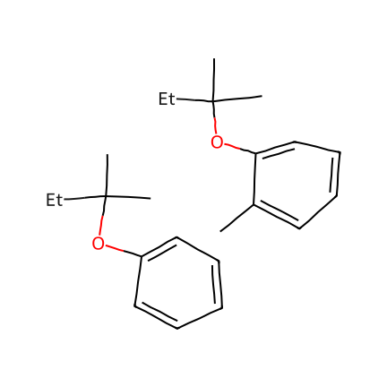 CCC(C)(C)Oc1ccccc1.CCC(C)(C)Oc1ccccc1C